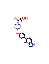 Cc1c(-c2ccc(OC3CCN(C(=O)C(C)(C)O)CC3)cc2)ccc2nccn12